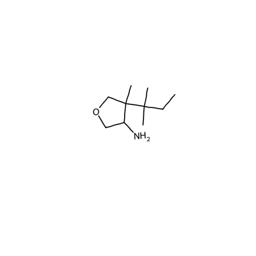 CCC(C)(C)C1(C)COCC1N